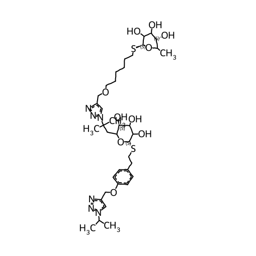 CC1O[C@@H](SCCCCCCOCc2cn(C(C)(C)CC3O[C@@H](SCCc4ccc(OCc5cn(C(C)C)nn5)cc4)C(O)C(O)[C@@H]3O)nn2)C(O)C(O)[C@@H]1O